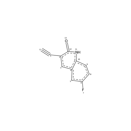 C#Cc1cc2cc(F)ccc2[nH]c1=O